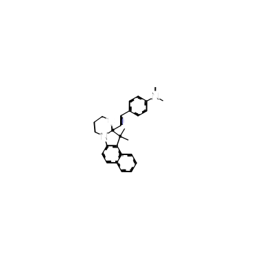 CN(C)c1ccc(/C=C/C23OCCCN2c2ccc4ccccc4c2C3(C)C)cc1